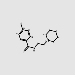 C=C(NCCN1CCCCC1)c1ccc(C)cc1